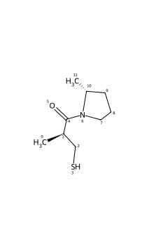 C[C@H](CS)C(=O)N1CCC[C@H]1C